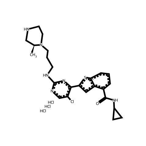 C[C@H]1CNCCN1CCCNc1ncc(Cl)c(-c2cc3c(C(=O)NC4CC4)cccc3s2)n1.Cl.Cl.Cl